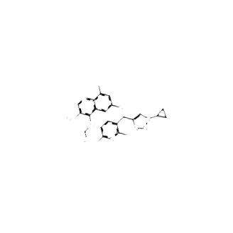 CC(C)(C)CNc1c(C#N)cnc2c(Cl)cc(N[C@H](C3=CN(C4CC4)NN3)c3ccc(F)nc3Cl)cc12